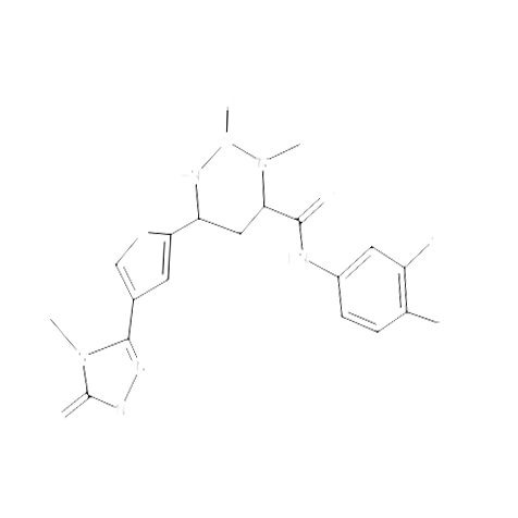 CN1C(C(=O)Nc2ccc(F)c(Cl)c2)CC(c2cc(-c3n[nH]c(=S)n3C)cs2)N[S+]1[O-]